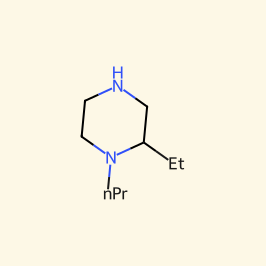 [CH2]CCN1CCNCC1CC